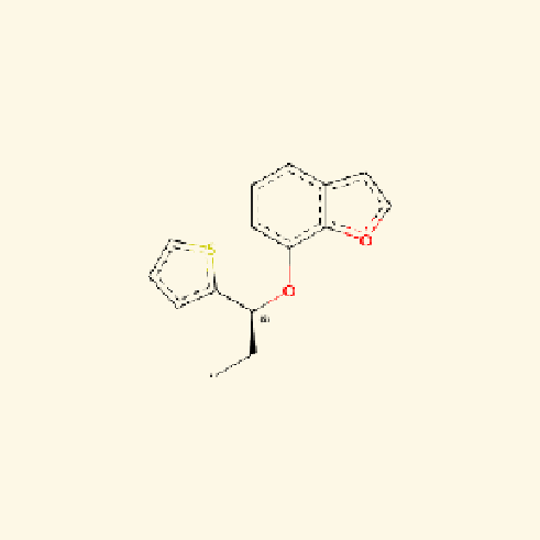 [CH2]C[C@H](Oc1cccc2ccoc12)c1cccs1